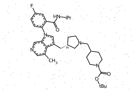 Cc1cncc2c1c(C[C@@H]1CCN(CC3CCN(C(=O)OC(C)(C)C)CC3)C1)cn2-c1ccc(F)cc1C(=O)NC(C)C